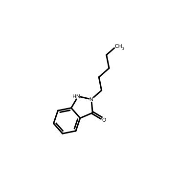 CCCCCn1[nH]c2ccccc2c1=O